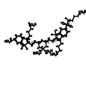 CCOC(=O)CCCN(C)S(=O)(=O)c1ccc2c(c1)C(C)(C)/C(=C\C=C1C=C(/C=C/C3=[N+](CCCS(=O)(=O)O)c4ccc(S(=O)(=O)O)cc4C3(C)C)CC(C(=O)O)(C(=O)OCC)C\1)N2CCCS(=O)(=O)O